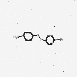 CC(C)c1ccc(SSc2ccc(N)cc2)cc1